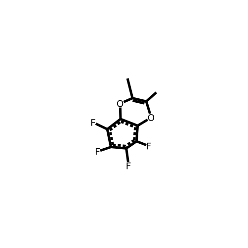 CC1=C(C)Oc2c(F)c(F)c(F)c(F)c2O1